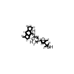 Cc1oc(/S(N)=N/C(=O)Nc2c3c(cc4c2CCC4C)CCC3)cc1C(C)(C)O